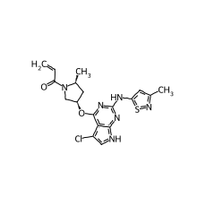 C=CC(=O)N1C[C@H](Oc2nc(Nc3cc(C)ns3)nc3[nH]cc(Cl)c23)C[C@@H]1C